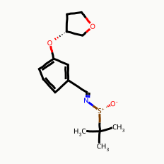 CC(C)(C)[S@@+]([O-])N=Cc1cccc(O[C@@H]2CCOC2)c1